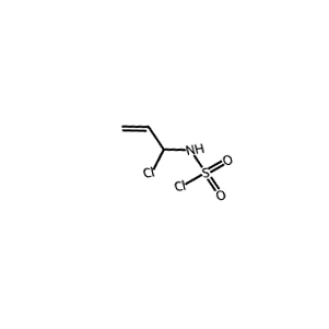 C=CC(Cl)NS(=O)(=O)Cl